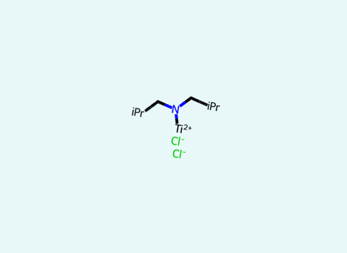 CC(C)C[N]([Ti+2])CC(C)C.[Cl-].[Cl-]